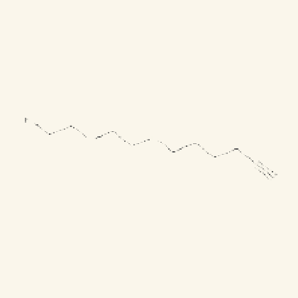 C#CCCCCOCCOCCO